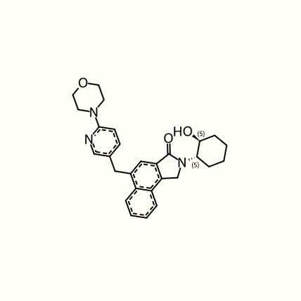 O=C1c2cc(Cc3ccc(N4CCOCC4)nc3)c3ccccc3c2CN1[C@H]1CCCC[C@@H]1O